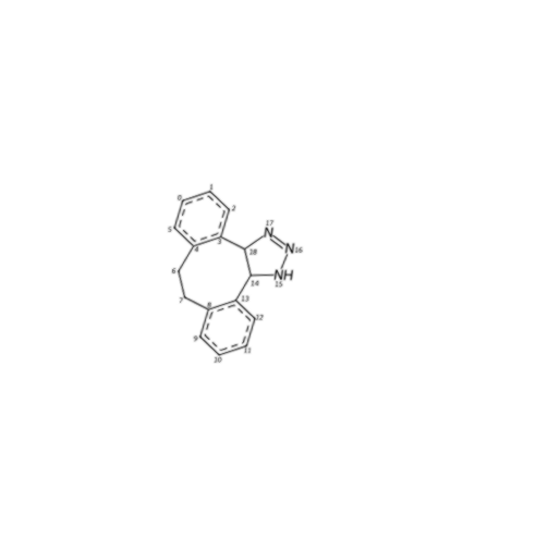 c1ccc2c(c1)CCc1ccccc1C1NN=NC21